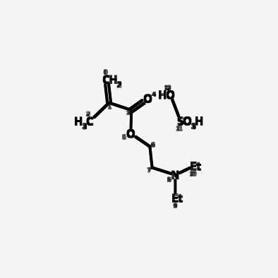 C=C(C)C(=O)OCCN(CC)CC.O=S(=O)(O)O